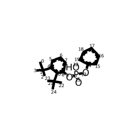 CC(C)(C)c1cccc(OP(=O)(O)Oc2ccccc2)c1C(C)(C)C